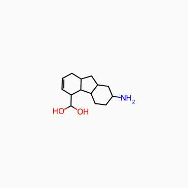 NC1CCC2C(C1)CC1CC=CC(C(O)O)C12